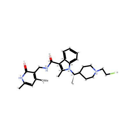 COc1cc(C)[nH]c(=O)c1CNC(=O)c1c(C)n([C@@H](C)C2CCN(CCF)CC2)c2ccccc12